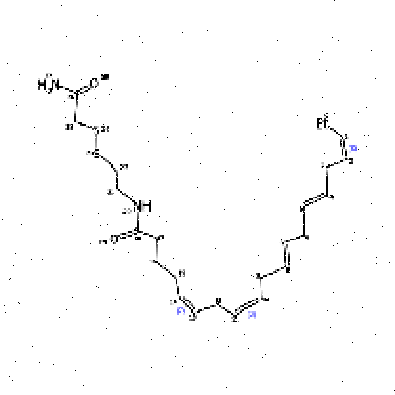 CC/C=C\CC=CCC=CC/C=C\C/C=C\CCCC(=O)NCCSSCC(N)=O